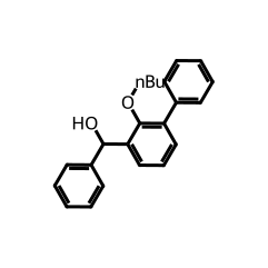 CCCCOc1c(-c2ccccc2)cccc1C(O)c1ccccc1